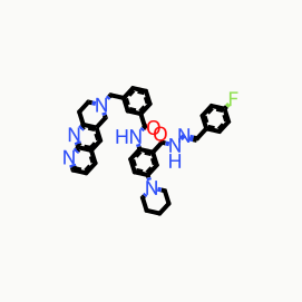 O=C(Nc1ccc(N2CCCCC2)cc1C(=O)NN=Cc1ccc(F)cc1)c1cccc(CN2CCc3nc4ncccc4cc3C2)c1